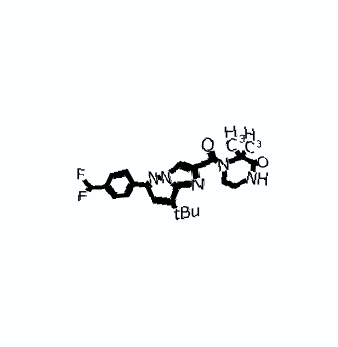 CC(C)(C)c1cc(-c2ccc(C(F)F)cc2)nn2cc(C(=O)N3CCNC(=O)C3(C)C)nc12